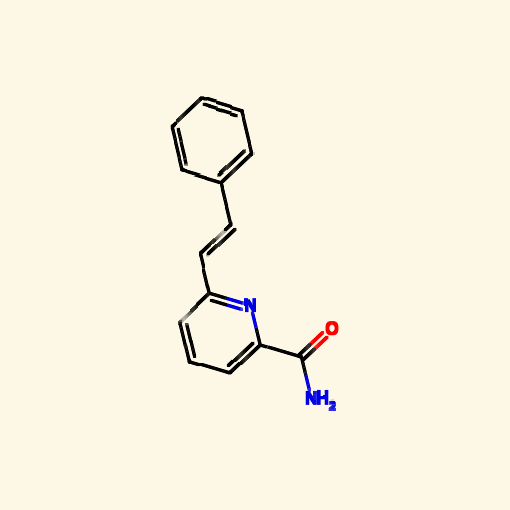 NC(=O)c1cccc(/C=C/c2ccccc2)n1